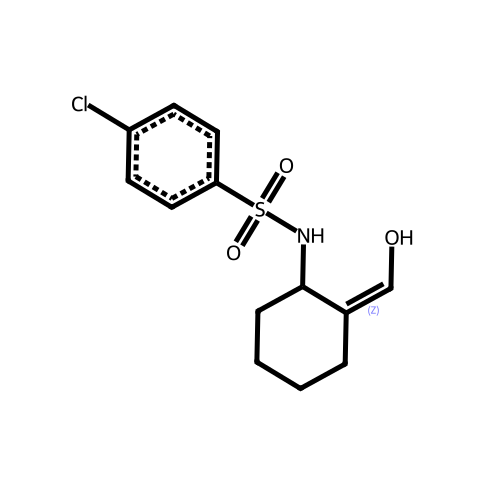 O=S(=O)(NC1CCCC/C1=C/O)c1ccc(Cl)cc1